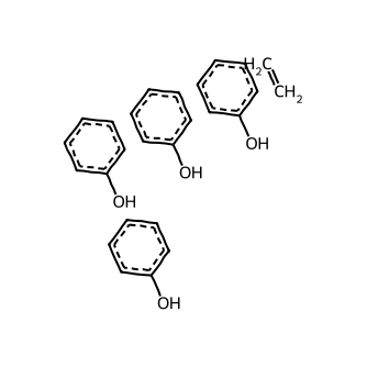 C=C.Oc1ccccc1.Oc1ccccc1.Oc1ccccc1.Oc1ccccc1